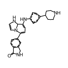 O=C1NCc2cc(C3=CC=C(Nc4ccc(C5CCNCC5)cc4)C4NC=CN34)ccc21